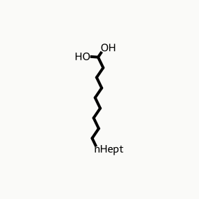 CCCCCCCCCCCCCCCC(O)O